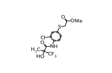 COC(=O)CSc1ccc(NC(=O)[C@@](C)(O)C(F)(F)F)c(Cl)c1